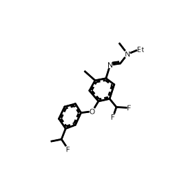 CCN(C)C=Nc1cc(C(F)F)c(Oc2cccc(C(C)F)c2)cc1C